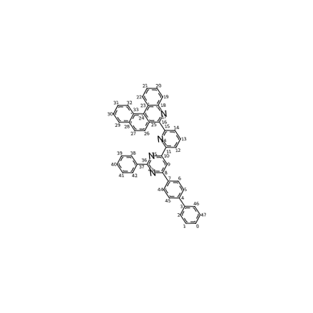 c1ccc(-c2ccc(-c3cc(-c4cccc(-c5nc6ccccc6c6c5ccc5ccccc56)n4)nc(-c4ccccc4)n3)cc2)cc1